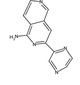 Nc1nc(-c2cnccn2)cc2cnccc12